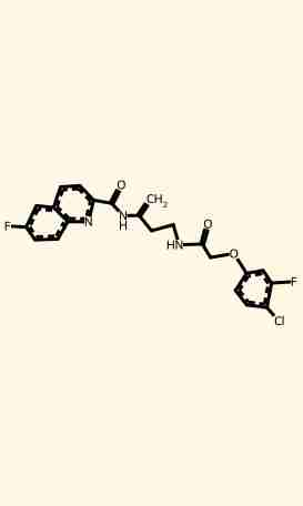 C=C(CCNC(=O)COc1ccc(Cl)c(F)c1)NC(=O)c1ccc2cc(F)ccc2n1